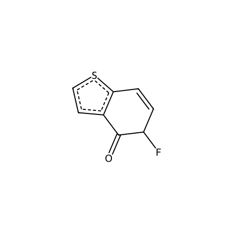 O=C1c2ccsc2C=CC1F